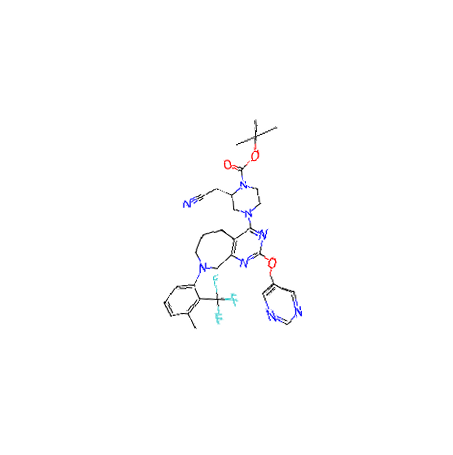 Cc1cccc(N2CCCc3c(nc(Oc4cncnc4)nc3N3CCN(C(=O)OC(C)(C)C)C(CC#N)C3)C2)c1C(F)(F)F